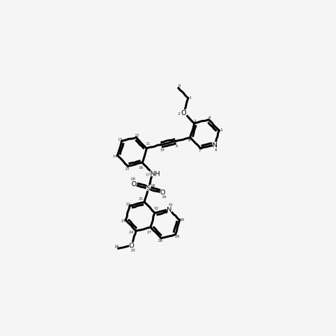 CCOc1ccncc1C#Cc1ccccc1NS(=O)(=O)c1ccc(OC)c2cccnc12